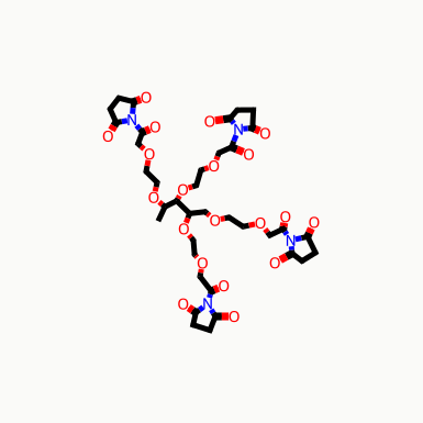 CC(OCCOCC(=O)N1C(=O)CCC1=O)C(OCCOCC(=O)N1C(=O)CCC1=O)C(COCCOCC(=O)N1C(=O)CCC1=O)OCCOCC(=O)N1C(=O)CCC1=O